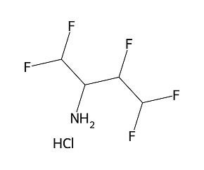 Cl.NC(C(F)F)C(F)C(F)F